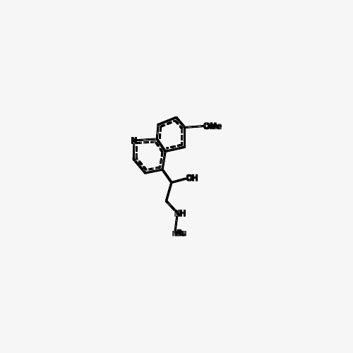 CCCCNCC(O)c1ccnc2ccc(OC)cc12